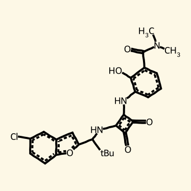 CN(C)C(=O)c1cccc(Nc2c(NC(c3cc4cc(Cl)ccc4o3)C(C)(C)C)c(=O)c2=O)c1O